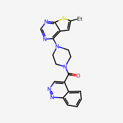 CCc1cc2c(N3CCN(C(=O)c4cnnc5ccccc45)CC3)ncnc2s1